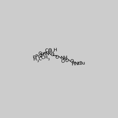 CCCC(C)(C)C(=O)CCC(NC(=O)COCCOCCNC(=O)COCCOCCNC(C)(C)C)C(=O)O